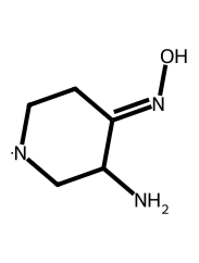 NC1C[N]CCC1=NO